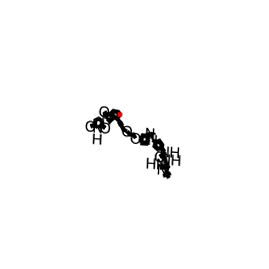 CC(C)(C)c1cc(NC(=O)Nc2ccc(-n3cnc4cc(OCCOCC#Cc5cccc6c5CN(C5CCC(=O)NC5=O)C6=O)ccc43)cc2)[nH]n1